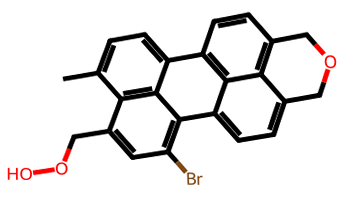 Cc1ccc2c3ccc4c5c(ccc(c6c(Br)cc(COO)c1c26)c53)COC4